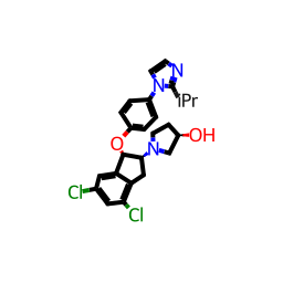 CC(C)c1nccn1-c1ccc(O[C@@H]2c3cc(Cl)cc(Cl)c3C[C@@H]2N2CC[C@@H](O)C2)cc1